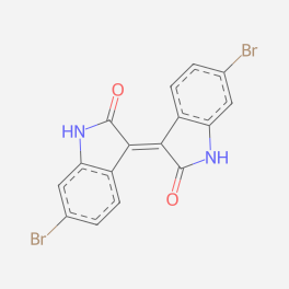 O=C1Nc2cc(Br)ccc2/C1=C1\C(=O)Nc2cc(Br)ccc21